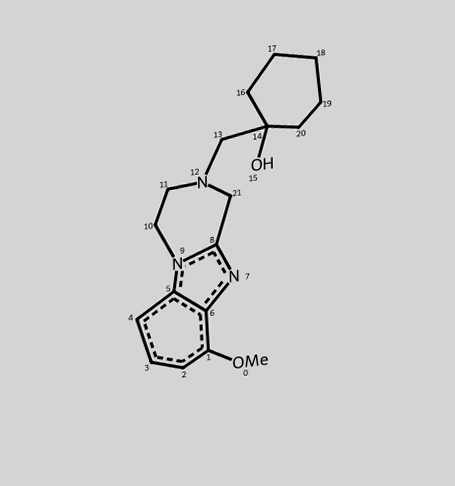 COc1cccc2c1nc1n2CCN(CC2(O)CCCCC2)C1